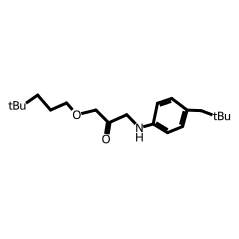 CC(C)(C)CCCOCC(=O)CNc1ccc(CC(C)(C)C)cc1